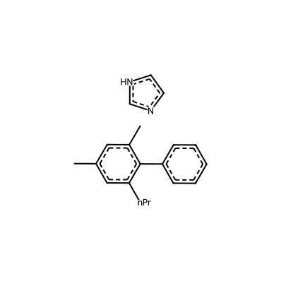 CCCc1cc(C)cc(C)c1-c1ccccc1.c1c[nH]cn1